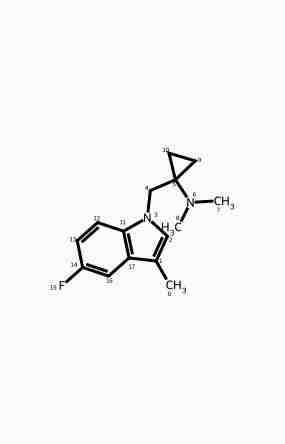 Cc1cn(CC2(N(C)C)CC2)c2ccc(F)cc12